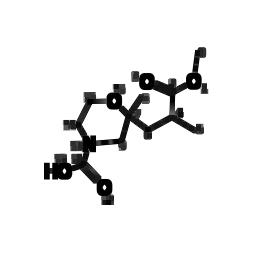 COC(=O)C(C)CC1(C)CN(C(=O)O)CCO1